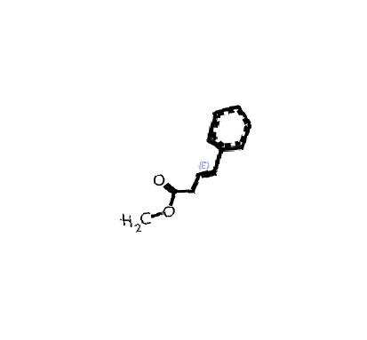 [CH2]OC(=O)C/C=C/c1ccccc1